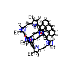 CCC1=C(C)c2cc3[nH]c(c(C)c3CC)c(-c3cccc4cc5cccc(-c6c7nc(cc8[nH]c(cc9nc(cc%10[nH]c6c(C)c%10CC)C(C)=C9CC)c(CC)c8C)C(CC)=C7C)c5cc34)c3nc(cc4[nH]c(cc1n2)c(CC)c4C)C(CC)=C3C